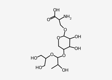 CC(O)C(OC(CO)CO)OC1COC(OCC(N)C(=O)O)C(O)C1O